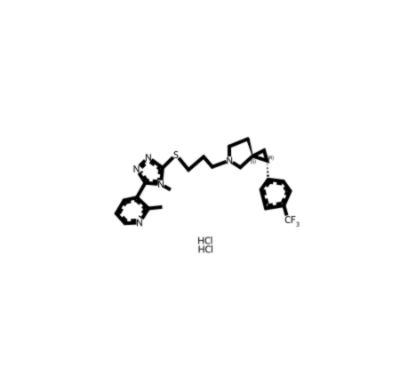 Cc1ncccc1-c1nnc(SCCCN2CC[C@]3(C[C@@H]3c3ccc(C(F)(F)F)cc3)C2)n1C.Cl.Cl